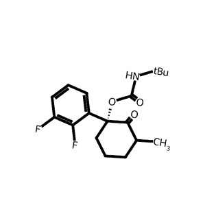 CC1CCC[C@@](OC(=O)NC(C)(C)C)(c2cccc(F)c2F)C1=O